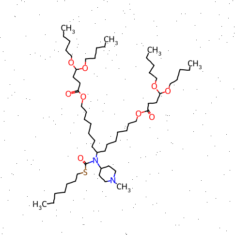 CCCCCCCSC(=O)N(C(CCCCCCCOC(=O)CCC(OCCCCC)OCCCCC)CCCCCCCOC(=O)CCC(OCCCCC)OCCCCC)C1CCN(C)CC1